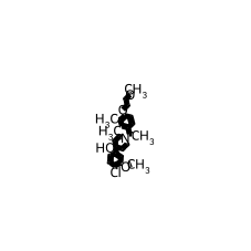 COCCOc1ccc(C(C)N2CCC(O)(c3ccc(Cl)c(OC)c3)CC2)c(C)c1C